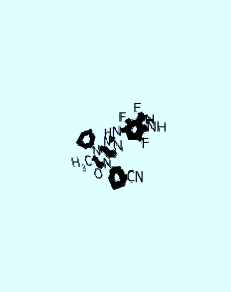 C[C@@H]1C(=O)N(c2cccc(C#N)c2)c2cnc(Nc3cc(F)c4[nH]nc(F)c4c3F)nc2N1C1CCCCC1